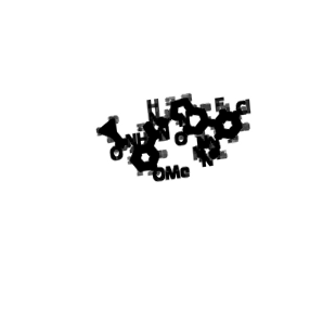 COc1ccc(NC(=O)C2CC2)c(-c2c[nH]c([C@@H]3CCC4CC(c5c(-n6cnnn6)ccc(Cl)c5F)=CC(=O)N43)n2)c1